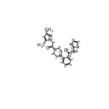 Cc1cc(C)n(CC(=O)N2CCN(c3ccccc3C(=O)Nc3nccs3)CC2)n1